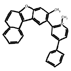 Cc1cc2oc3ccc4ccccc4c3c2cc1-c1cc(-c2ccccc2)cc[n+]1C